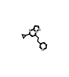 c1cncc(CCc2cc(C3CC3)nc3ccnn23)c1